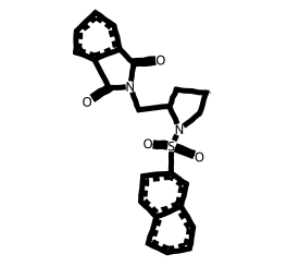 O=C1c2ccccc2C(=O)N1CC1C[CH]CN1S(=O)(=O)c1ccc2ccccc2c1